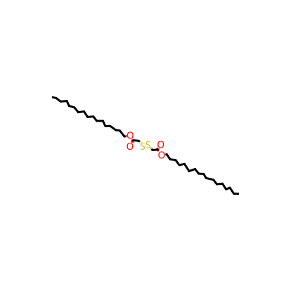 CCCCCCCCCCCCCCCCCOC(=O)CSSCC(=O)OCCCCCCCCCCCCCCCCC